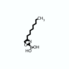 CCCCCCCCc1coc(B(O)O)n1